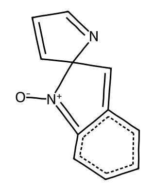 [O-][N+]1=c2ccccc2=CC12C=CC=N2